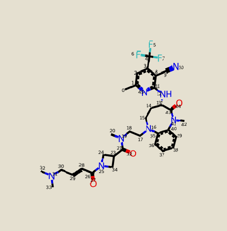 Cc1cc(C(F)(F)F)c(C#N)c(N[C@H]2CCN(CCN(C)C(=O)C3CN(C(=O)/C=C/CN(C)C)C3)c3ccccc3N(C)C2=O)n1